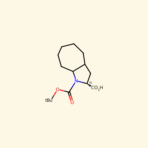 CC(C)(C)OC(=O)N1C2CCCCCC2C[C@H]1C(=O)O